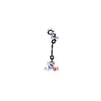 NC[C@H](NC(=O)c1ccc(C#CC#Cc2ccc(NC(=O)CN3CCCCCC3)cc2)cc1)C(=O)NO